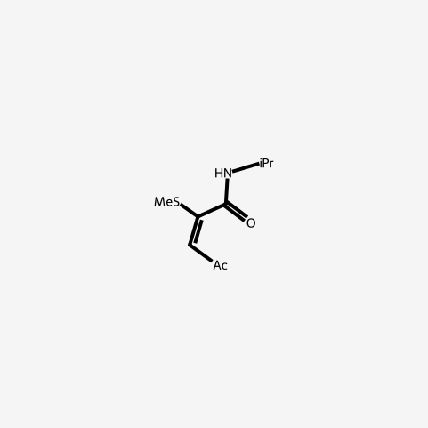 CS/C(=C/C(C)=O)C(=O)NC(C)C